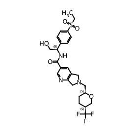 CCS(=O)(=O)c1ccc([C@H](CO)NC(=O)c2cnc3c(c2)CN(C[C@@H]2CC[C@H](C(F)(F)F)CO2)C3)cc1